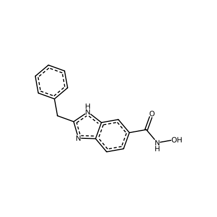 O=C(NO)c1ccc2nc(Cc3ccccc3)[nH]c2c1